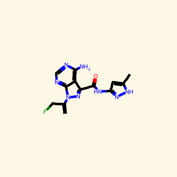 C=C(CF)n1nc(C(=O)Nc2cc(C)[nH]n2)c2c(N)ncnc21